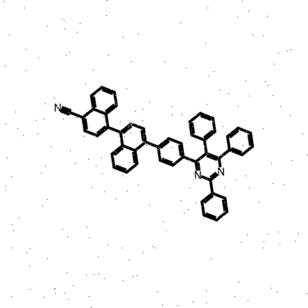 N#Cc1ccc(-c2ccc(-c3ccc(-c4nc(-c5ccccc5)nc(-c5ccccc5)c4-c4ccccc4)cc3)c3ccccc23)c2ccccc12